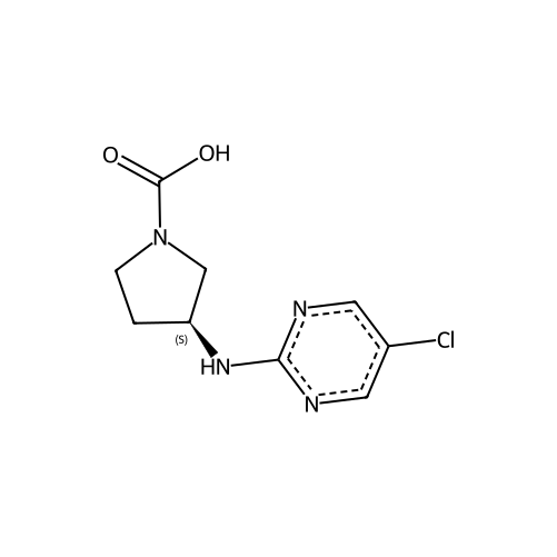 O=C(O)N1CC[C@H](Nc2ncc(Cl)cn2)C1